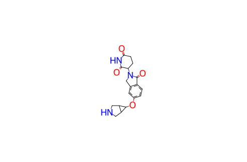 O=C1CCC(N2Cc3cc(OC4C5CNCC54)ccc3C2=O)C(=O)N1